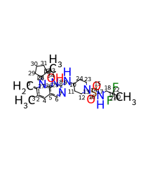 C=C1C(C)=Cc2cnc(NC3CCN(S(=O)(=O)NCC(C)(F)F)CC3)nc2N1[C@H]1CCC[C@]1(C)O